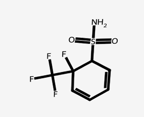 NS(=O)(=O)C1C=CC=CC1(F)C(F)(F)F